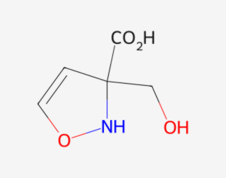 O=C(O)C1(CO)C=CON1